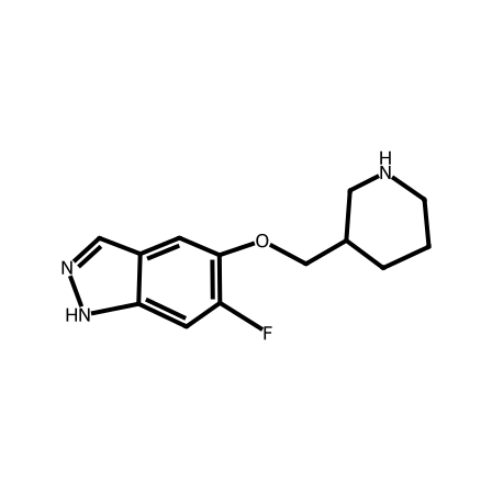 Fc1cc2[nH]ncc2cc1OCC1CCCNC1